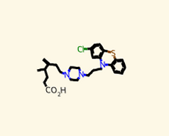 C=C(CCN1CCN(CCCN2c3ccccc3Sc3ccc(Cl)cc32)CC1)C(C)CCC(=O)O